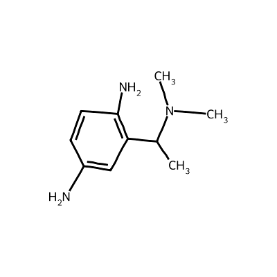 CC(c1cc(N)ccc1N)N(C)C